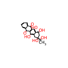 C[C@H](O)[C@]1(O)Cc2c(O)c3c(c(O)c2[C@H](O)C1)C(=O)c1ccccc1C3=O